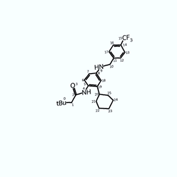 CC(C)(C)CC(=O)Nc1ccc(NCc2ccc(C(F)(F)F)cc2)cc1C1CCCCC1